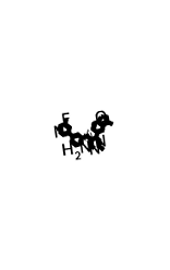 Cc1nc(N)c([C@@H](C)c2cccc(-c3cncc(F)c3)c2)c(-c2ccc3occ(C)c3c2)n1